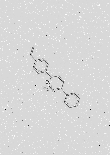 C=Cc1ccc(C(/C=C\C(=N/N)c2ccccc2)CC)cc1